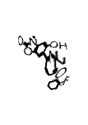 Cn1c(=O)oc2cc(-c3ccc(O[C@H]4CCCC[C@H]4F)nn3)c(O)cc21